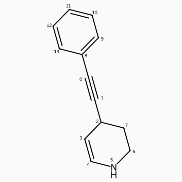 C(#CC1C=CNCC1)c1ccccc1